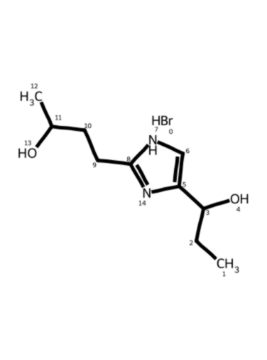 Br.CCC(O)c1c[nH]c(CCC(C)O)n1